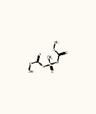 CC(C)(C)OC(=O)OP(C)(=O)OC(=O)OC(C)(C)C